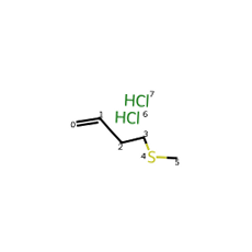 C=CCCSC.Cl.Cl